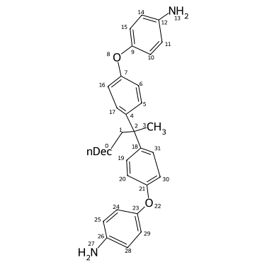 CCCCCCCCCCCC(C)(c1ccc(Oc2ccc(N)cc2)cc1)c1ccc(Oc2ccc(N)cc2)cc1